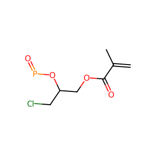 C=C(C)C(=O)OCC(CCl)OP=O